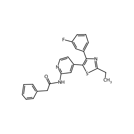 CCc1nc(-c2cccc(F)c2)c(-c2ccnc(NC(=O)Cc3ccccc3)c2)s1